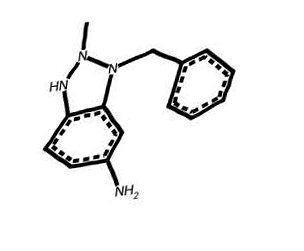 CN1Nc2ccc(N)cc2N1Cc1ccccc1